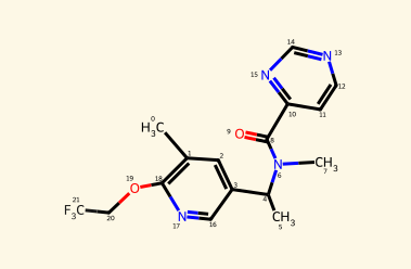 Cc1cc(C(C)N(C)C(=O)c2ccncn2)cnc1OCC(F)(F)F